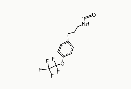 O=[C]NCCCc1ccc(OC(F)(F)C(F)(F)F)cc1